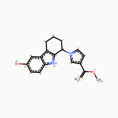 C=C(OC)c1ccn(C2CCCc3c2[nH]c2ccc(Br)cc32)c1